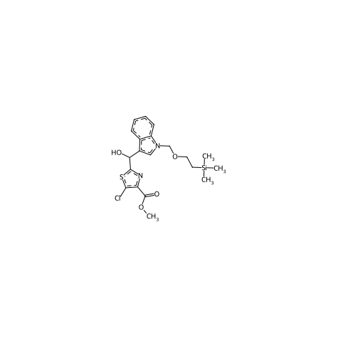 COC(=O)c1nc(C(O)c2cn(COCC[Si](C)(C)C)c3ccccc23)sc1Cl